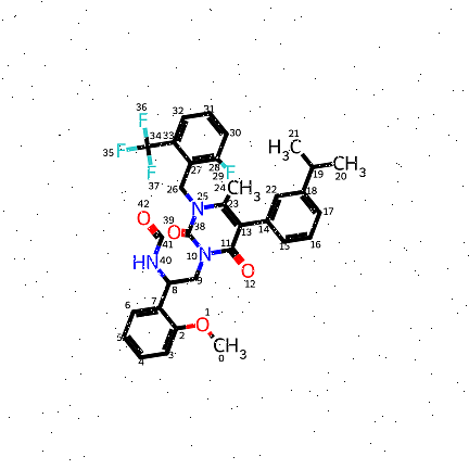 COc1ccccc1C(Cn1c(=O)c(-c2cccc(C(C)C)c2)c(C)n(Cc2c(F)cccc2C(F)(F)F)c1=O)NC=O